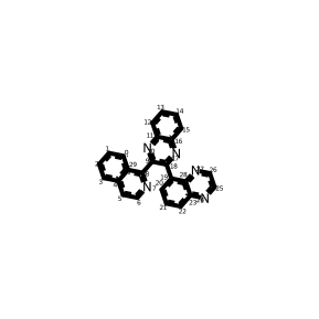 [c]1cccc2ccnc(-c3nc4ccccc4nc3-c3cccc4nccnc34)c12